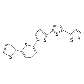 C1=CSC(C2=CCC=C(c3ccc(-c4ccc(-c5cccs5)s4)s3)S2)C1